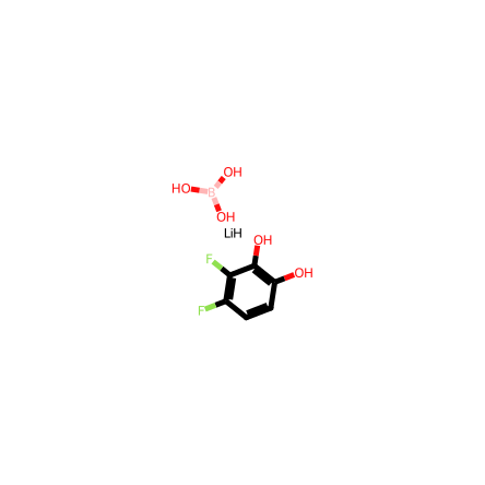 OB(O)O.Oc1ccc(F)c(F)c1O.[LiH]